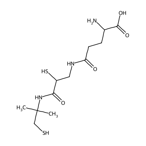 CC(C)(CS)NC(=O)C(S)CNC(=O)CCC(N)C(=O)O